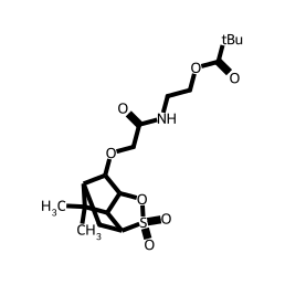 CC(C)(C)C(=O)OCCNC(=O)COC1C2OS(=O)(=O)C3CC1C(C)(C)C23